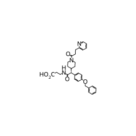 O=C(O)CCNC(=O)[C@H](c1ccc(OCc2ccccc2)cc1)C1CCN(C(=O)CCc2ccccn2)CC1